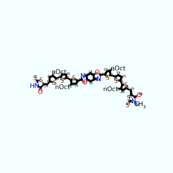 CCCCCCCCc1cc(/C=C2\SC(=S)NC2=O)sc1-c1ccc(-c2sc(-c3nc4cc5oc(-c6cc(CCCCCCCC)c(-c7ccc(-c8sc(/C=C9\SC(=S)N(C)C9=O)cc8CCCCCCCC)s7)s6)nc5cc4o3)cc2CCCCCCCC)s1